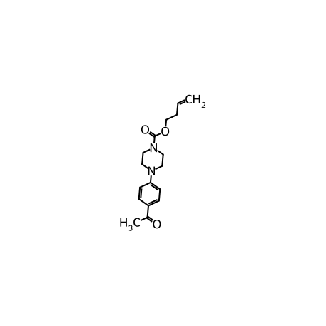 C=CCCOC(=O)N1CCN(c2ccc(C(C)=O)cc2)CC1